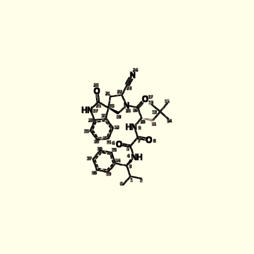 CC(C)[C@H](NC(=O)C(=O)N[C@@H](CC(C)(C)C)C(=O)N1C[C@]2(CC1C#N)C(=O)Nc1ccccc12)c1ccccc1